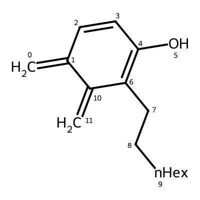 C=c1ccc(O)c(CCCCCCCC)c1=C